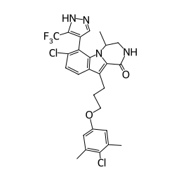 Cc1cc(OCCCc2c3n(c4c(-c5cn[nH]c5C(F)(F)F)c(Cl)ccc24)C(C)CNC3=O)cc(C)c1Cl